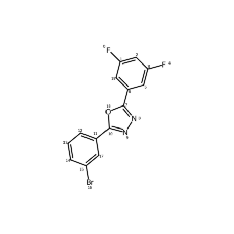 Fc1cc(F)cc(-c2nnc(-c3cccc(Br)c3)o2)c1